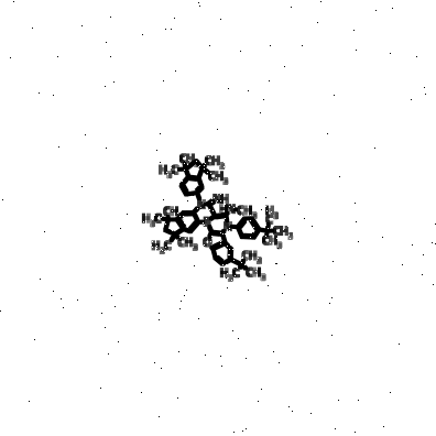 CNC1=C2B(c3cc4c(cc3N(c3ccc5c(c3)C(C)(C)CC5(C)C)C2=N)C(C)(C)CC4(C)C)c2oc3ccc(C(C)(C)C)cc3c2N1c1ccc(C(C)(C)C)cc1